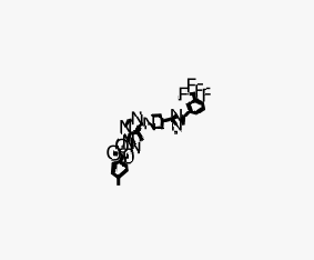 Cc1ccc(S(=O)(=O)On2ncc3c(N4CCC(c5nc(-c6ccc(F)c(C(F)(F)F)c6)cn5C)CC4)ncnc32)cc1